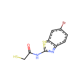 O=C(CS)Nc1nc2ccc(Br)cc2s1